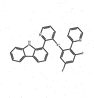 Fc1cc(F)c(-c2ccccn2)[c]([Ir+][c]2cccnc2-c2cccc3c2[nH]c2ccccc23)c1